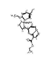 CCOC(=O)c1cnn2ccc(N3CCCC3(N)c3cc(F)cnc3OC)nc12